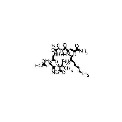 CC(C)[C@H](NC(=O)[C@H](CC(=O)O)NC(=O)CNC(=O)[C@H](C)NC(=O)[C@H](CCC(N)=O)NC(=O)[C@@H](N)CCCCN)C(=O)O